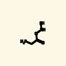 O=C(CP)ONS